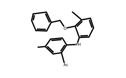 CC(=O)c1cc(C)ccc1Pc1cccc(C)c1OCc1ccccc1